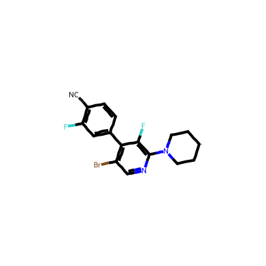 N#Cc1ccc(-c2c(Br)cnc(N3CC[CH]CC3)c2F)cc1F